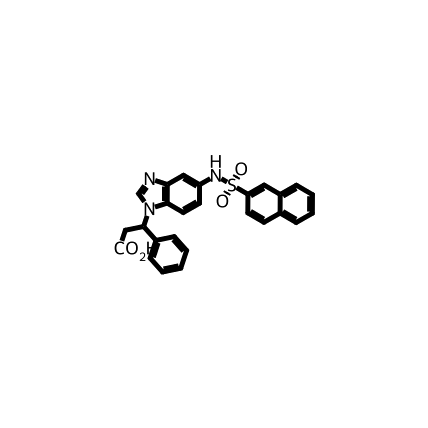 O=C(O)CC(c1ccccc1)n1cnc2cc(NS(=O)(=O)c3ccc4ccccc4c3)ccc21